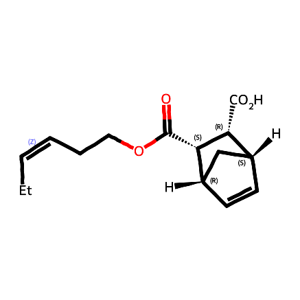 CC/C=C\CCOC(=O)[C@@H]1[C@H](C(=O)O)[C@@H]2C=C[C@H]1C2